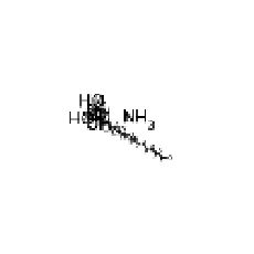 CCCCCCCCCCCCCCCCCCC(OC(=O)CO)C(O)(O)O.N